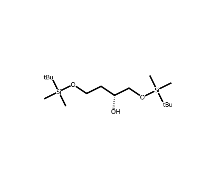 CC(C)(C)[Si](C)(C)OCC[C@@H](O)CO[Si](C)(C)C(C)(C)C